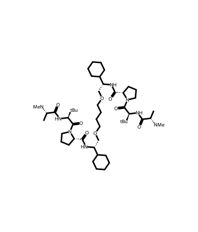 CN[C@@H](C)C(=O)N[C@H](C(=O)N1CCC[C@H]1C(=O)N[C@H](COCCCCOC[C@@H](NC(=O)[C@@H]1CCCN1C(=O)[C@@H](NC(=O)[C@H](C)NC)C(C)(C)C)C1CCCCC1)C1CCCCC1)C(C)(C)C